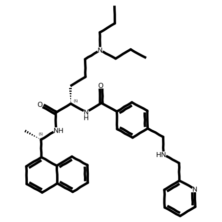 CCCN(CCC)CCC[C@H](NC(=O)c1ccc(CNCc2ccccn2)cc1)C(=O)N[C@@H](C)c1cccc2ccccc12